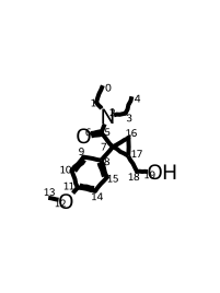 CCN(CC)C(=O)C1(c2ccc(OC)cc2)CC1CO